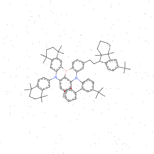 Cc1cc2c3c(c1)N(c1ccc(C(C)(C)C)cc1-c1ccccc1)c1cc(CCC4c5ccc(C(C)(C)C)cc5C5(C)CCCCC45C)ccc1B3c1cc3c(cc1N2c1ccc2c(c1)C(C)(C)CCC2(C)C)C(C)(C)CCC3(C)C